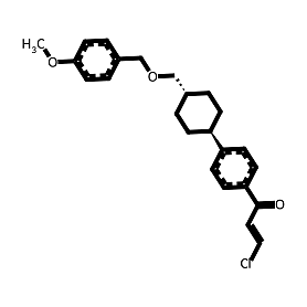 COc1ccc(COC[C@H]2CC[C@H](c3ccc(C(=O)C=CCl)cc3)CC2)cc1